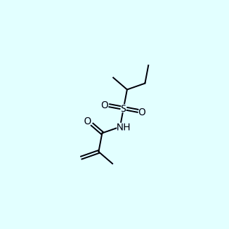 C=C(C)C(=O)NS(=O)(=O)C(C)CC